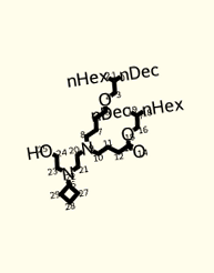 CCCCCCCCCCC(CCCCCC)COCCCCN(CCCC(=O)OCC(CCCCCC)CCCCCCCCCC)CCN(CCO)C1CCC1